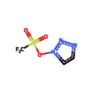 O=S(=O)(On1ccnn1)C(F)(F)F